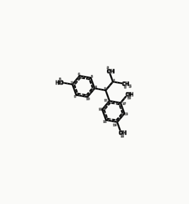 CC(O)C(c1ccc(O)cc1)c1ccc(O)cc1O